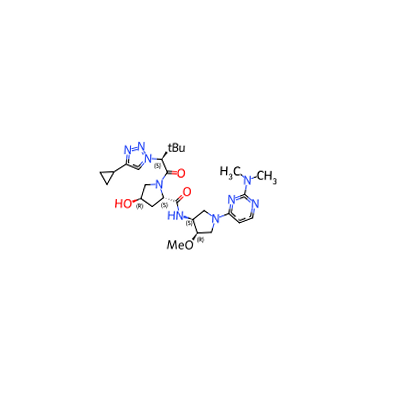 CO[C@@H]1CN(c2ccnc(N(C)C)n2)C[C@@H]1NC(=O)[C@@H]1C[C@@H](O)CN1C(=O)[C@@H](n1cc(C2CC2)nn1)C(C)(C)C